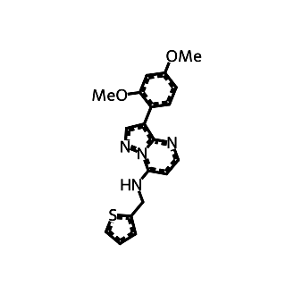 COc1ccc(-c2cnn3c(NCc4cccs4)ccnc23)c(OC)c1